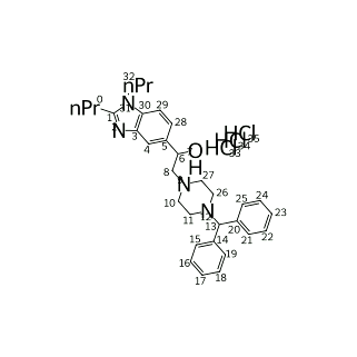 CCCc1nc2cc(C(O)CN3CCN(C(c4ccccc4)c4ccccc4)CC3)ccc2n1CCC.Cl.Cl.Cl